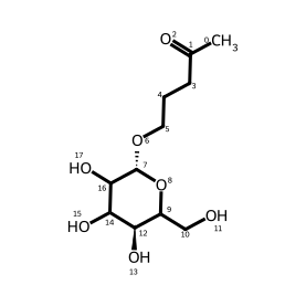 CC(=O)CCCO[C@@H]1OC(CO)[C@@H](O)C(O)C1O